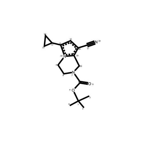 CC(C)(C)OC(=O)N1CCn2c(C3CC3)cc(C#N)c2C1